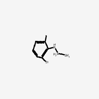 CCc1cccc(C)c1N[SiH2][SiH3]